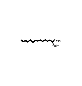 C=C/C=C/CCCCCCCCCC(OCCC)OCCC